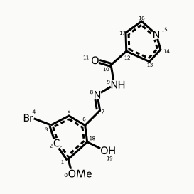 COc1cc(Br)cc(/C=N/NC(=O)c2ccncc2)c1O